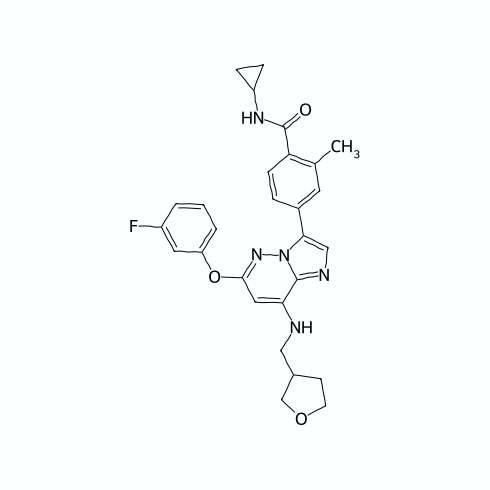 Cc1cc(-c2cnc3c(NCC4CCOC4)cc(Oc4cccc(F)c4)nn23)ccc1C(=O)NC1CC1